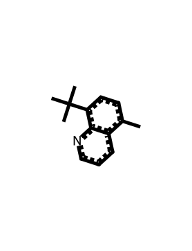 Cc1ccc(C(C)(C)C)c2ncccc12